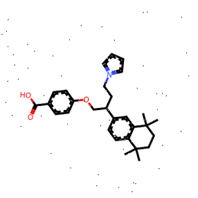 CC1(C)CCC(C)(C)c2cc(C(CCn3cccc3)COc3ccc(C(=O)O)cc3)ccc21